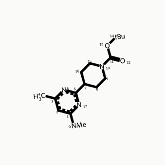 CNc1cc(C)nc(C2CCN(C(=O)OC(C)(C)C)CC2)n1